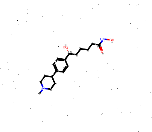 CN1CCC(c2ccc([C@H](O)CCCCC(=O)NO)cc2)CC1